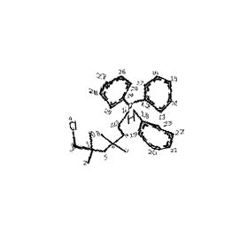 CC(C)(CCl)CC(C)(C)CC[PH](c1ccccc1)(c1ccccc1)c1ccccc1